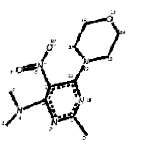 Cc1nc(N(C)C)c([N+](=O)[O-])c(N2CCOCC2)n1